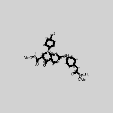 CCc1ccc(-n2cc(C(=O)NOC)c(=O)c3cnc(Nc4ccc(CC(=O)N(C)NC)cc4)nc32)cc1